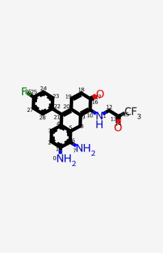 Nc1ccc2c(c1N)CC1=C(NCC(=O)C(F)(F)F)C(=O)C=CC1=C2c1ccc(F)cc1